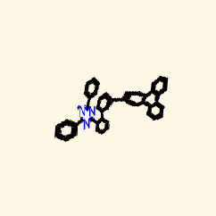 CN1C(c2ccccc2)=NC(c2ccccc2-c2cccc(-c3ccc4c5ccccc5c5ccccc5c4c3)c2)=NC1c1ccccc1